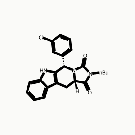 CCCCN1C(=O)[C@@H]2Cc3c([nH]c4ccccc34)[C@H](c3cccc(Cl)c3)N2C1=O